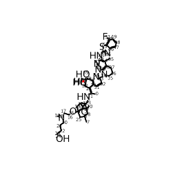 C/C(NCC1CC2(C)CC3(C)CC1CC(OCCN(C)CCCCO)(C2)C3)=C(/C=N)c1ccc(N2CCCc3c2nnc(Nc2nc4cccc(F)c4s2)c3C)nc1C(O)O